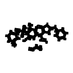 Cc1c(N(C)C2CCN(Cc3ccccc3)C2)cc(F)c(S(=O)(=O)Nc2cccc(F)n2)c1F.O=CO